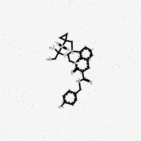 CC(C)(CO)S(=O)(=O)C1(CN2CCn3c(=O)c(C(=O)NCc4ccc(Cl)cc4)cc4cccc2c43)CC1